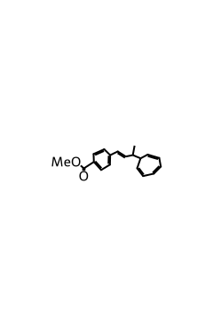 COC(=O)c1ccc(/C=C/C(C)C2C=CC=CC=C2)cc1